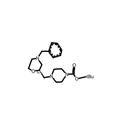 CC(C)(C)OC(=O)N1CCN(C[C@@H]2CN(Cc3ccccc3)CCO2)CC1